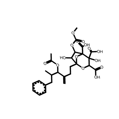 C=C(CCC12OC(C(=O)O)C(O)(C(=O)O)C(C(=O)O)(O1)C(OC(=O)OC)C2O)C(OC(C)=O)C(C)Cc1ccccc1